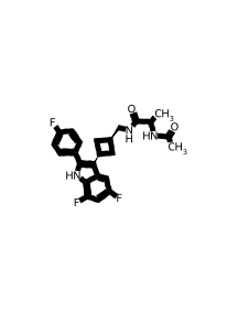 CC(=O)NC(C)C(=O)NC[C@H]1C[C@H](c2c(-c3ccc(F)cc3)[nH]c3c(F)cc(F)cc32)C1